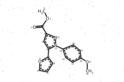 COC(=O)c1cc(-c2ccco2)n(-c2ccc(OC)cc2)n1